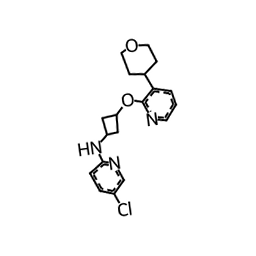 Clc1ccc(NC2CC(Oc3ncccc3C3CCOCC3)C2)nc1